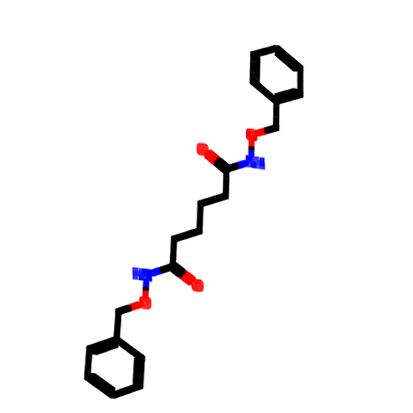 O=C(CCCCC(=O)NOCc1ccccc1)NOCc1ccccc1